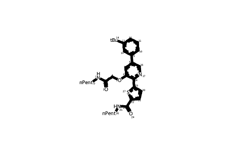 CCCCCNC(=O)COc1cc(-c2cccc(C(C)(C)C)c2)cnc1-c1ccc(C(=O)NCCCCC)s1